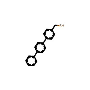 SCc1ccc(-c2ccc(-c3ccccc3)cc2)cc1